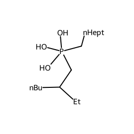 CCCCCCCCP(O)(O)(O)CC(CC)CCCC